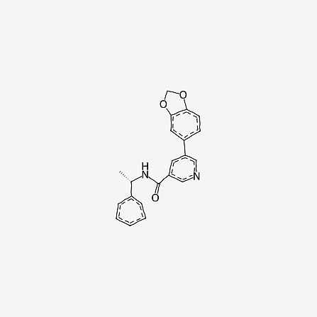 C[C@H](NC(=O)c1cncc(-c2ccc3c(c2)OCO3)c1)c1ccccc1